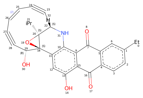 CCc1ccc2c(c1)C(=O)c1c3c(cc(O)c1C2=O)[C@@]12O[C@@]1(C(C)C)[C@H](C#C/C=C\C#C[C@H]2O)N3